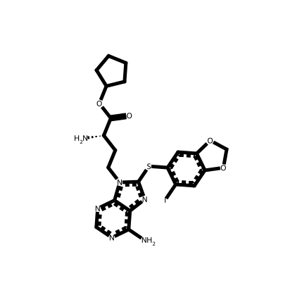 Nc1ncnc2c1nc(Sc1cc3c(cc1I)OCO3)n2CC[C@H](N)C(=O)OC1CCCC1